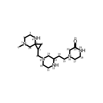 CN1CCNC2(CC2CN2CCNC(CCN3CCNC(=O)C3)C2)C1